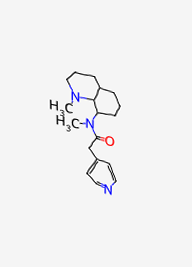 CN1CCCC2CCCC(N(C)C(=O)Cc3ccncc3)C21